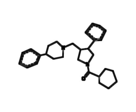 O=C(C1CCCCC1)N1CC(CN2CCC(c3ccccc3)CC2)C(c2ccccc2)C1